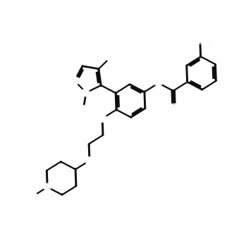 CN1CCC(OCCOc2ccc(NC(=O)c3cccc(C(F)(F)F)c3)cc2-c2c(Cl)cnn2C)CC1